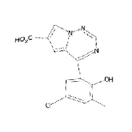 Cc1cc(Cl)cc(-c2ncnn3cc(C(=O)O)cc23)c1O